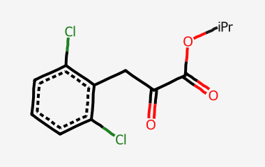 CC(C)OC(=O)C(=O)Cc1c(Cl)cccc1Cl